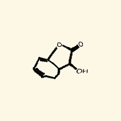 O=C1OC2=CC=CCC2C1O